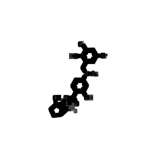 CC(=O)N(Cc1cc(Br)cc(Cl)c1O)c1ccc(C(=O)OC2CC3CCC2(C)C3(C)C)c(O)c1